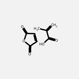 C=C(C)C(=O)O.O=C1C=CC(=O)O1